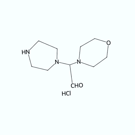 Cl.O=CC(N1CCNCC1)N1CCOCC1